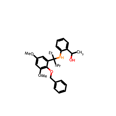 CCCC(CC)(Pc1ccccc1C(C)O)c1cc(OC)cc(OC)c1OCc1ccccc1